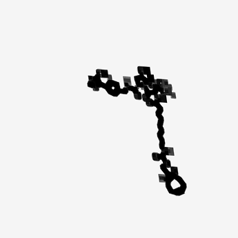 Cc1ncsc1-c1ccc(CNC(=O)[C@@H]2C[C@@H](O)CN2C(=O)[C@@H](NC(=O)CCCCCCCCNC(=O)OCC2[C@H]3CCC#CCC[C@@H]23)C(C)(C)C)cc1